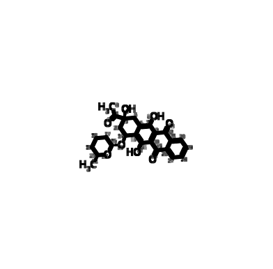 CC(=O)[C@]1(O)Cc2c(O)c3c(c(O)c2[C@@H](O[C@H]2CCC[C@H](C)O2)C1)C(=O)c1ccccc1C3=O